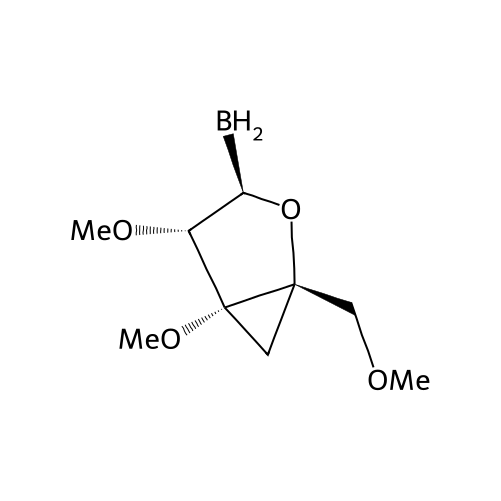 B[C@H]1O[C@]2(COC)C[C@@]2(OC)[C@@H]1OC